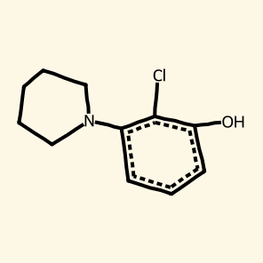 Oc1cccc(N2CCCCC2)c1Cl